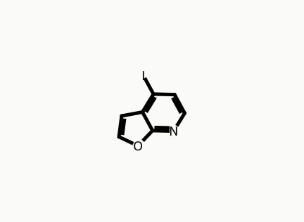 Ic1ccnc2occc12